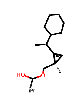 CC(C)C(O)OC[C@]1(C)C=C1[C@@H](C)C1CCCCC1